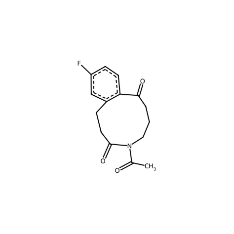 CC(=O)N1CCCC(=O)c2ccc(F)cc2CCC1=O